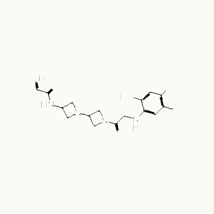 C=CC(=O)NC1CN(C2CN(C(=O)CNc3cc(Br)c(Cl)cc3O)C2)C1